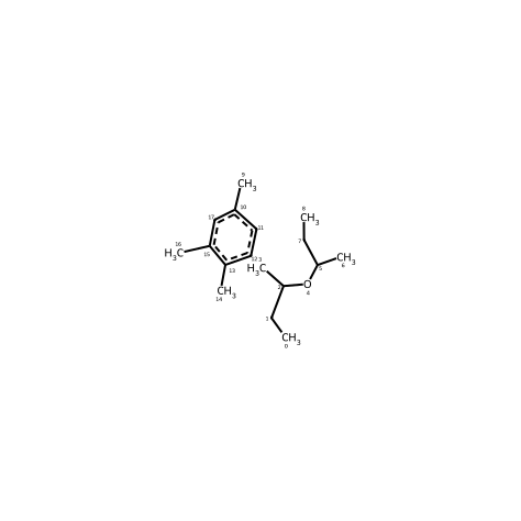 CCC(C)OC(C)CC.Cc1ccc(C)c(C)c1